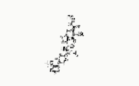 Cc1ncsc1-c1ccc([C@H](C)NC(=O)[C@@H]2CCCN2C(=O)C(NC(=O)COC(C)C)C(C)(C)C)cc1